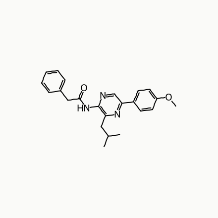 COc1ccc(-c2cnc(NC(=O)Cc3ccccc3)c(CC(C)C)n2)cc1